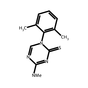 CNc1ncn(-c2c(C)cccc2C)c(=S)n1